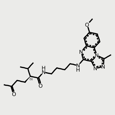 COc1ccc2c(c1)nc(NCCCCNC(=O)[C@@H](CCC(C)=O)C(C)C)c1nnc(C)n12